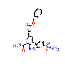 NC(=O)c1cc(/C=C/C(=O)OCc2ccccc2)cc(-c2ccc(S(N)(=O)=O)cc2)c1N